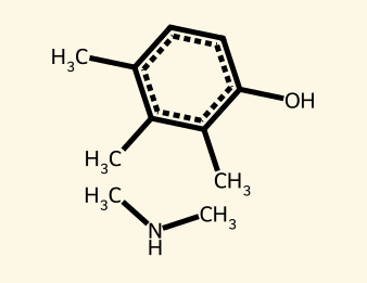 CNC.Cc1ccc(O)c(C)c1C